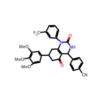 COc1cc(C2CC(=O)C3=C(C2)N(c2cccc(C(F)(F)F)c2)C(=O)NC3c2ccc(C#N)cc2)cc(OC)c1OC